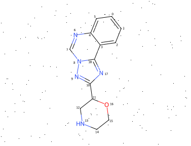 c1ccc2c(c1)ncn1nc(C3CNCCO3)nc21